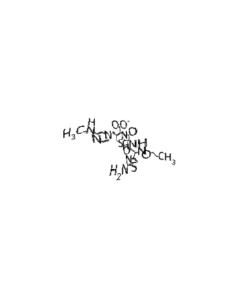 CCCON=C(C(=O)NC1C(=O)N2C(C(=O)[O-])=C(C[n+]3ccnc(NCC)c3)CS[C@@H]12)c1csc(N)n1